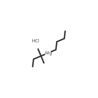 CCC[CH2][Mg][C](C)(C)CC.Cl